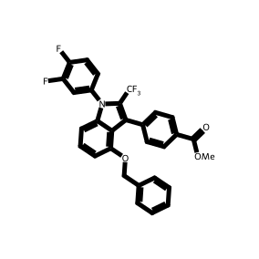 COC(=O)c1ccc(-c2c(C(F)(F)F)n(-c3ccc(F)c(F)c3)c3cccc(OCc4ccccc4)c23)cc1